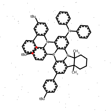 CC(C)(C)c1ccc(-c2cc3c4c(c2)C2(C)CCCCC2(C)N4c2cc(N(c4ccccc4)c4ccccc4)cc4c2B3c2ccc(C(C)(C)C)cc2N4c2ccc(C(C)(C)C)cc2-c2ccccc2)cc1